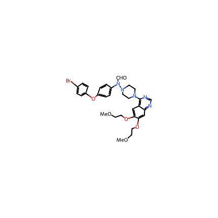 COCCOc1cc2ncnc(N3CCN(N(C=O)c4ccc(Oc5ccc(Br)cc5)cc4)CC3)c2cc1OCCOC